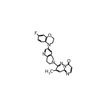 Cc1cc2nccc(=O)n2nc1N1CCc2ncc(N3CCOc4cc(F)ccc43)cc2C1